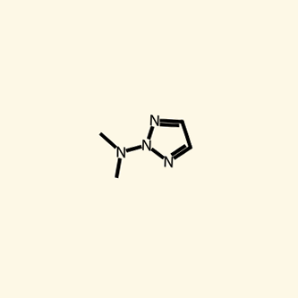 CN(C)n1nccn1